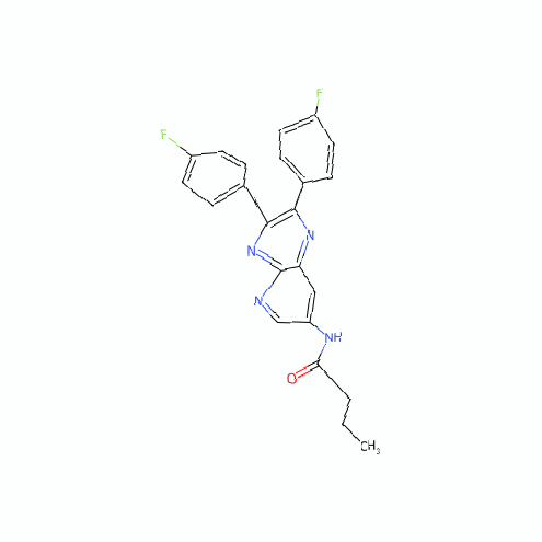 CCCC(=O)Nc1cnc2nc(-c3ccc(F)cc3)c(-c3ccc(F)cc3)nc2c1